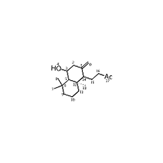 C=C1CC(O)C2C(C)(C)CCC[C@]2(C)C1CCC(C)=O